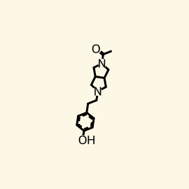 CC(=O)N1CC2CN(CCc3ccc(O)cc3)CC2C1